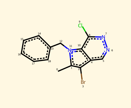 Cc1c(Br)c2cnnc(Cl)c2n1Cc1ccccc1